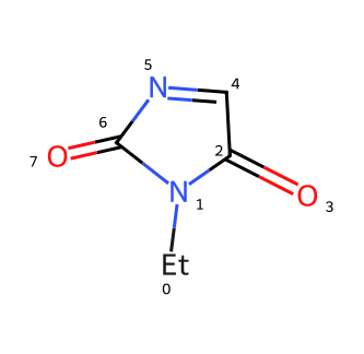 CCN1C(=O)C=NC1=O